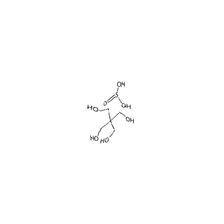 O=S(O)O.OCC(CO)(CO)CO